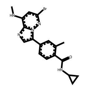 CNc1cc(Br)nn2c(-c3ccc(C(=O)NC4CC4)c(C)c3)cnc12